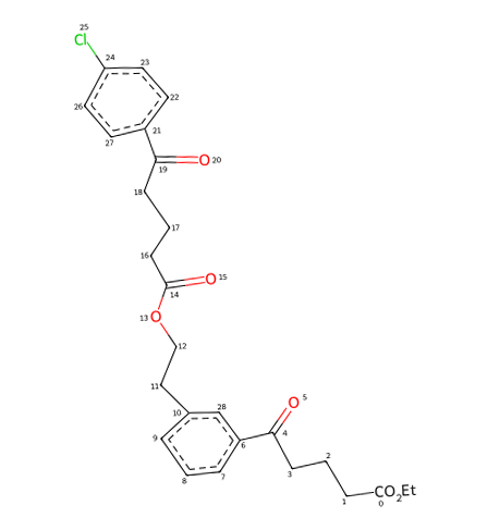 CCOC(=O)CCCC(=O)c1cccc(CCOC(=O)CCCC(=O)c2ccc(Cl)cc2)c1